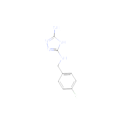 Nc1nnc(NCc2ccc(Cl)cc2)[nH]1